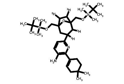 [2H]C1C([2H])C2(CO[Si](C)(C)C(C)(C)C)OC1(CO[Si](C)(C)C(C)(C)C)CC([2H])(c1ccc(N)c(C3=CCC(C)(C)CC3)n1)C2[2H]